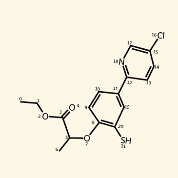 CCOC(=O)C(C)Oc1ccc(-c2ccc(Cl)cn2)cc1S